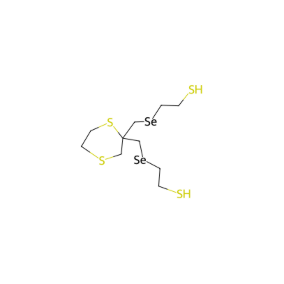 SCC[Se]CC1(C[Se]CCS)CSCCS1